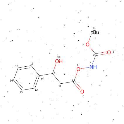 CC(C)(C)OC(=O)NOC(=O)CC(O)c1ccccc1